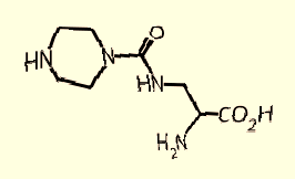 NC(CNC(=O)N1CCNCC1)C(=O)O